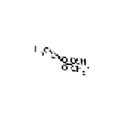 CCOCCOC(=O)C(C)OC